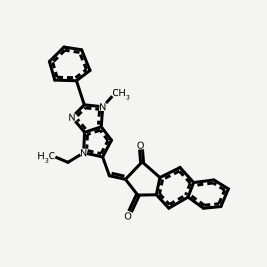 CCn1c(C=C2C(=O)c3cc4ccccc4cc3C2=O)cc2c1nc(-c1ccccc1)n2C